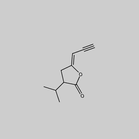 C#CC=C1CC(C(C)C)C(=O)O1